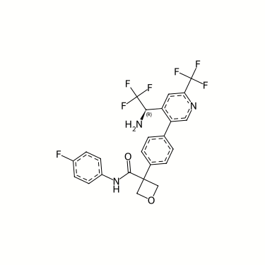 N[C@H](c1cc(C(F)(F)F)ncc1-c1ccc(C2(C(=O)Nc3ccc(F)cc3)COC2)cc1)C(F)(F)F